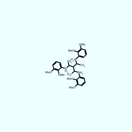 COc1cccc([SiH2]C(C)C(C(C)[SiH2]c2cccc(OC)c2OC)C(C)[SiH2]c2cccc(OC)c2OC)c1OC